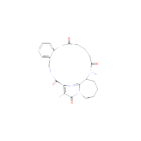 CN1C(=O)CCCC(=O)Nc2ccccc2CNC(=O)c2nc3n(c(=O)c2O)CCCCC31